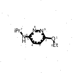 CCOc1ccc(NC(C)C)nn1